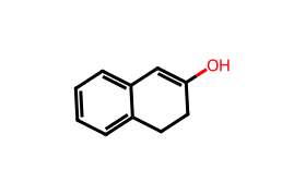 OC1=Cc2ccccc2CC1